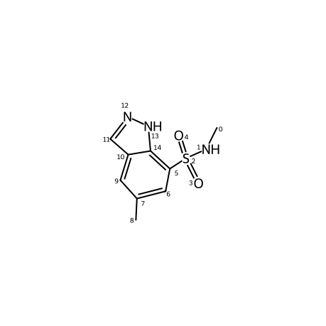 CNS(=O)(=O)c1cc(C)cc2cn[nH]c12